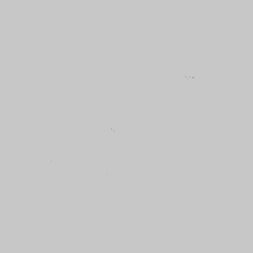 COCCSCCNc1cc(=O)c2scc(Br)c2o1